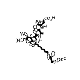 CCCCCCCCCCCC(=O)OCCCCCCCC(=O)N[C@H]1C(O)O[C@H](CO)[C@@H](O)[C@@H]1OC(C)C(=O)NC(C)C(=O)NC(CCC(=O)O)C(N)=O